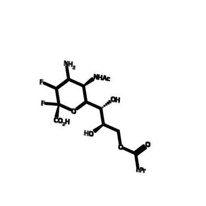 CCCC(=O)OC[C@@H](O)[C@@H](O)C1O[C@@](F)(C(=O)O)C(F)C(N)[C@H]1NC(C)=O